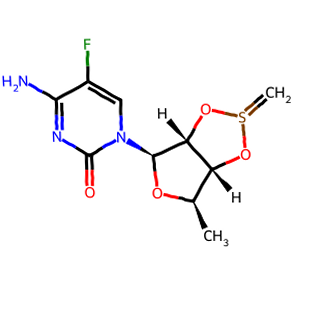 C=S1O[C@@H]2[C@H](O1)[C@@H](C)O[C@H]2n1cc(F)c(N)nc1=O